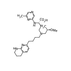 CO[C@H](C)CN(CCCCc1ccc2c(n1)NCCC2)CC[C@H](Nc1cncc(C)n1)C(=O)O